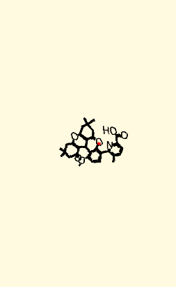 COc1ccc(-c2nc(C(=O)O)ccc2C)c(C)c1C1C2=C(CC(C)(C)CC2=O)OC2=C1C(=O)CC(C)(C)C2